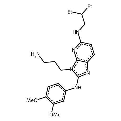 CCC(CC)CNc1ccc2nc(Nc3ccc(OC)c(OC)c3)n(CCCN)c2n1